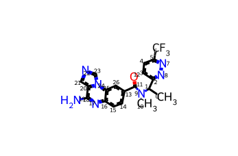 CC(c1ccc(C(F)(F)F)nn1)N(C)C(=O)c1ccc2nc(N)c3cncn3c2c1